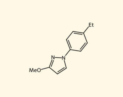 [CH2]Oc1ccn(-c2ccc(CC)cc2)n1